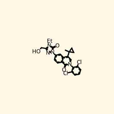 CCn1c(CO)nn(-c2ccc3c(=O)n(-c4c(Cl)cccc4Cl)cc(C4(C)CC4)c3c2)c1=O